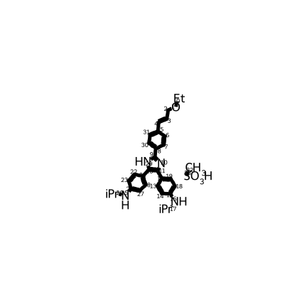 CCOCC=Cc1ccc(-c2nc(-c3ccc(NC(C)C)cc3)c(-c3ccc(NC(C)C)cc3)[nH]2)cc1.CS(=O)(=O)O